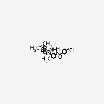 C=CNC(C)CNC(=N)Nc1cc(NC(=O)c2ccc(CCl)cc2)ccc1C